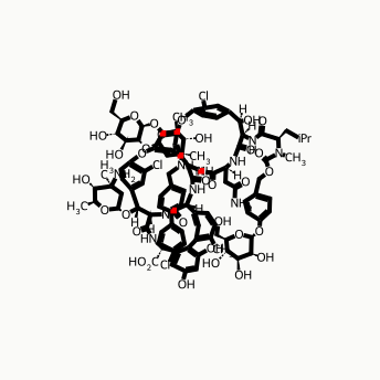 Cc1ccc2cc1-c1c(O)cc(O)cc1[C@H](C(=O)O)NC(=O)[C@H]1NC(=O)[C@@H]2NC(=O)[C@@H]2NC(=O)[C@H](CC(N)=O)NC(=O)[C@H](NC(=O)[C@@H](CC(C)C)N(C)C(=O)OCc3ccc(O[C@@H]4O[C@H](CO)[C@@H](O)[C@H](O)[C@H]4O)cc3)[C@H](O)c3ccc(c(Cl)c3)Oc3cc2cc(c3O[C@@H]2O[C@H](CO)[C@@H](O)[C@H](O)[C@H]2O[C@H]2C[C@](C)(NCc3ccc(-c4ccc(Cl)cc4)cc3)[C@@H](O)[C@H](C)O2)Oc2ccc(cc2Cl)[C@H]1O[C@H]1C[C@](C)(N)[C@@H](O)[C@H](C)O1